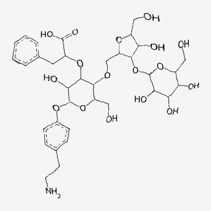 NCCc1ccc(OC2OC(CO)C(OCC3OC(CO)C(O)C3OC3OC(CO)C(O)C(O)C3O)C(OC(Cc3ccccc3)C(=O)O)C2O)cc1